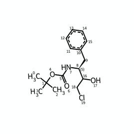 CC(C)(C)OC(=O)N[C@@H](Cc1ccccc1)C(O)CCl